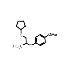 COc1ccc(OC(COC2CCCC2)C(=O)O)cc1